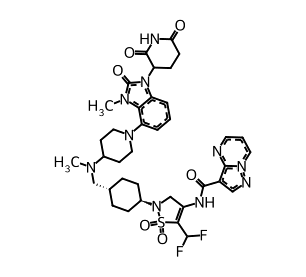 CN(C[C@H]1CC[C@H](N2CC(NC(=O)c3cnn4cccnc34)=C(C(F)F)S2(=O)=O)CC1)C1CCN(c2cccc3c2n(C)c(=O)n3C2CCC(=O)NC2=O)CC1